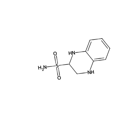 NS(=O)(=O)C1CNc2ccccc2N1